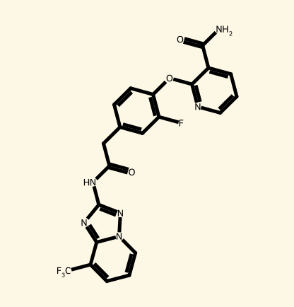 NC(=O)c1cccnc1Oc1ccc(CC(=O)Nc2nc3c(C(F)(F)F)cccn3n2)cc1F